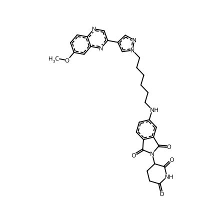 COc1ccc2ncc(-c3cnn(CCCCCCNc4ccc5c(c4)C(=O)N(C4CCC(=O)NC4=O)C5=O)c3)nc2c1